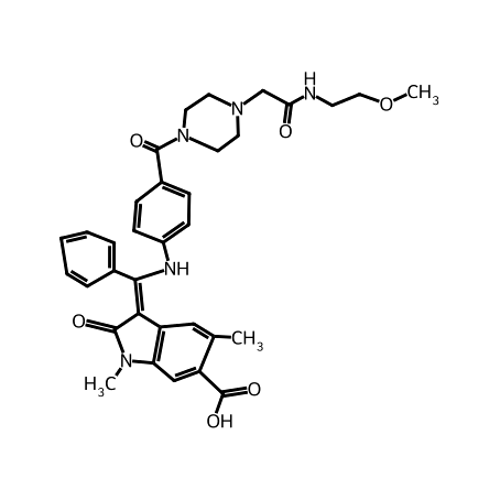 COCCNC(=O)CN1CCN(C(=O)c2ccc(NC(=C3C(=O)N(C)c4cc(C(=O)O)c(C)cc43)c3ccccc3)cc2)CC1